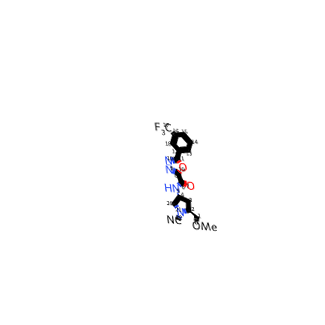 COC[C@@H]1C[C@@H](NC(=O)c2nnc(-c3cccc(C(F)(F)F)c3)o2)CN1C#N